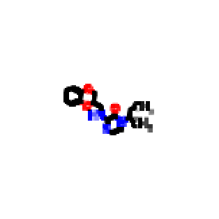 CCC(C)n1ccnc(NCC2COc3ccccc3O2)c1=O